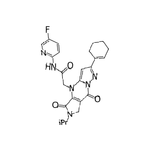 CC(C)N1Cc2c(n(CC(=O)Nc3ccc(F)cn3)c3cc(C4=CCCCC4)nn3c2=O)C1=O